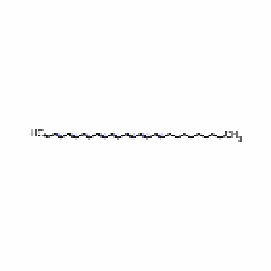 [CH]=C/C=C/C=C/C=C/C=C/C=C/C=C/C=C/C=C/CCCCCCCCC